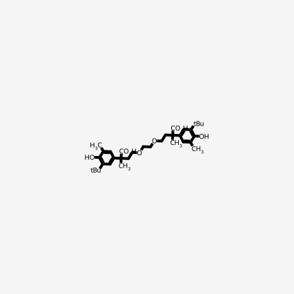 Cc1cc(C(C)(CCOCCOCCC(C)(C(=O)O)c2cc(C)c(O)c(C(C)(C)C)c2)C(=O)O)cc(C(C)(C)C)c1O